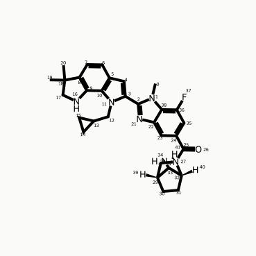 Cn1c(-c2cc3ccc4c(c3n2CC2CC2)NCC4(C)C)nc2cc(C(=O)N3C[C@H]4CC[C@@H]3[C@@H]4N)cc(F)c21